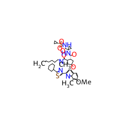 C=CCCCCN(C)C(=O)C1C[C@H](Oc2cc(-c3csc(C4CCCCC4)n3)nc3c(C)c(OC)ccc23)C[C@H]1C(=O)NC1(C(=O)NS(=O)(=O)C2CC2)CC1